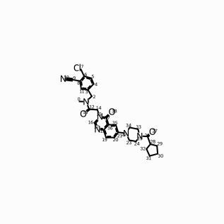 CN(Cc1ccc(Cl)c(C#N)c1)C(=O)Cn1cnc2ccc(N3CCN(C(=O)C4CCCC4)CC3)cc2c1=O